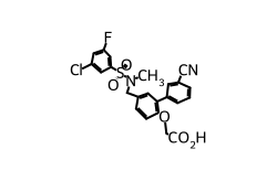 CN(Cc1ccc(OCC(=O)O)c(-c2cccc(C#N)c2)c1)S(=O)(=O)c1cc(F)cc(Cl)c1